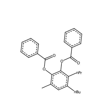 CCCCc1cc(C)c(OC(=O)c2ccccc2)c(OC(=O)c2ccccc2)c1CCC